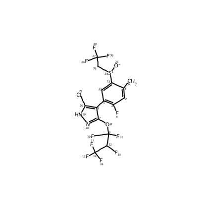 Cc1cc(F)c(-c2c(OC(F)(F)C(F)C(F)(F)F)n[nH]c2Cl)cc1[S+]([O-])CC(F)(F)F